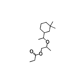 CCC(=O)OCC(C)OC(C)C1CCCC(C)(C)C1